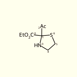 CCOC(=O)C1(C(C)=O)NCCS1